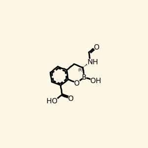 O=CN[C@H]1Cc2cccc(C(=O)O)c2OB1O